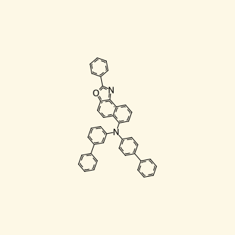 c1ccc(-c2ccc(N(c3cccc(-c4ccccc4)c3)c3cccc4c3ccc3oc(-c5ccccc5)nc34)cc2)cc1